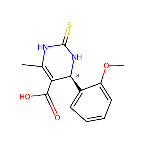 COc1ccccc1[C@@H]1NC(=S)NC(C)=C1C(=O)O